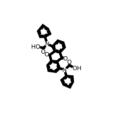 O=C1c2cccc(N(C(=O)O)c3ccccc3)c2C(=O)c2cccc(N(C(=O)O)c3ccccc3)c21